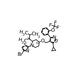 CC(C)[C@@H](C)C1C[C@@H](OCc2c(-c3ccccc3OC(F)(F)F)noc2C2CC2)CCN1c1nc(Br)cs1